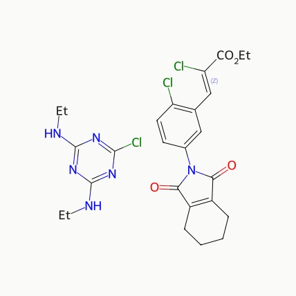 CCNc1nc(Cl)nc(NCC)n1.CCOC(=O)/C(Cl)=C/c1cc(N2C(=O)C3=C(CCCC3)C2=O)ccc1Cl